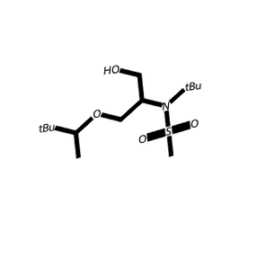 CC(OCC(CO)N(C(C)(C)C)S(C)(=O)=O)C(C)(C)C